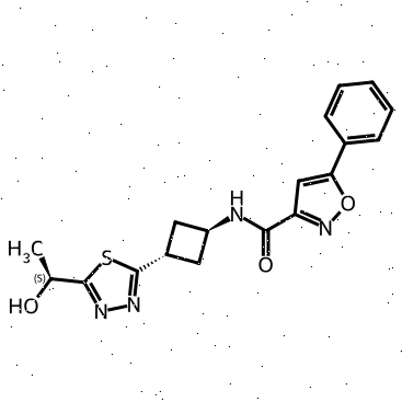 C[C@H](O)c1nnc([C@H]2C[C@H](NC(=O)c3cc(-c4ccccc4)on3)C2)s1